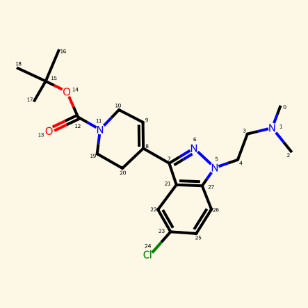 CN(C)CCn1nc(C2=CCN(C(=O)OC(C)(C)C)CC2)c2cc(Cl)ccc21